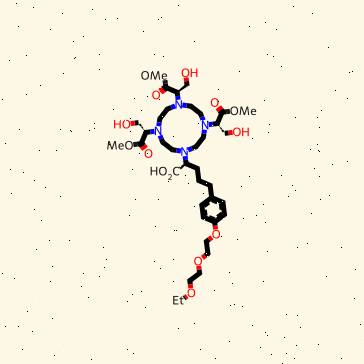 CCOCCOCCOc1ccc(CCC[C@@H](C(=O)O)N2CCN([C@@H](CO)C(=O)OC)CCN([C@H](CO)C(=O)OC)CCN([C@@H](CO)C(=O)OC)CC2)cc1